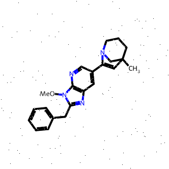 COn1c(Cc2ccccc2)nc2cc(C3=CC4(C)CCCN3C4)cnc21